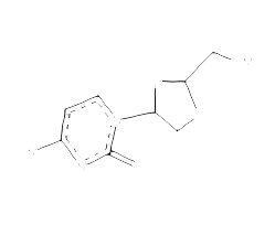 COCC1OC(n2ccc(N)nc2=O)CS1